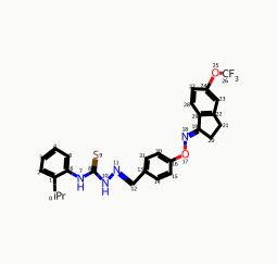 CC(C)c1ccccc1NC(=S)NN=Cc1ccc(ON=C2CCc3cc(OC(F)(F)F)ccc32)cc1